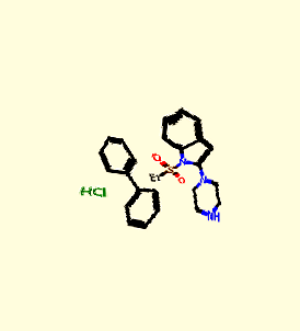 CCS(=O)(=O)n1c(N2CCNCC2)cc2ccccc21.Cl.c1ccc(-c2ccccc2)cc1